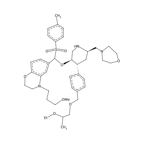 CCOC(C)COCc1ccc([C@H]2C[C@H](CN3CCOCC3)NC[C@@H]2OC(c2ccc3c(c2)N(CCCOC)CCO3)S(=O)(=O)c2ccc(C)cc2)cc1